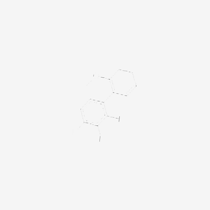 COC1=C(c2ccc(F)c(F)c2F)C=CC[CH]1